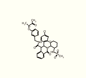 CC(=O)[C@H](C)Oc1cccc(CNC(=O)C2c3ccccc3C(=O)N(C3CCCCC3NS(C)(=O)=O)C2c2ccc(Cl)cc2Cl)c1